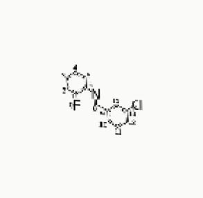 Fc1ccccc1N=Cc1cccc(Cl)c1